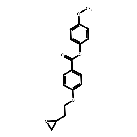 O=C(Oc1ccc(OC(F)(F)F)cc1)c1ccc(OCCC2CO2)cc1